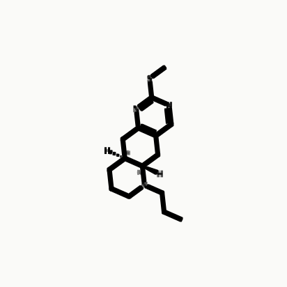 CCCN1CCC[C@H]2Cc3nc(SC)ncc3C[C@@H]21